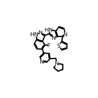 Fc1c(-c2cncc(CN3CCCC3)c2)ccc2[nH]nc(-c3nc4c(-c5cccs5)nccc4[nH]3)c12